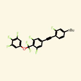 CCCCc1ccc(C#Cc2cc(F)c(C(F)(F)Oc3cc(F)c(F)c(F)c3)c(F)c2)c(F)c1